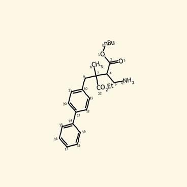 CCCCOC(=O)C(CN)C(C)(Cc1ccc(-c2ccccc2)cc1)C(=O)OCC